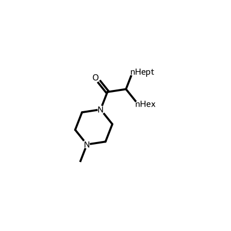 CCCCCCCC(CCCCCC)C(=O)N1CCN(C)CC1